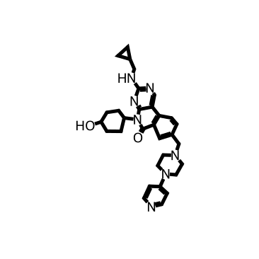 O=c1c2cc(CN3CCN(c4ccncc4)CC3)ccc2c2cnc(NCC3CC3)nc2n1C1CCC(O)CC1